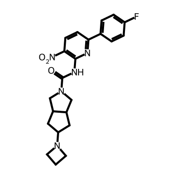 O=C(Nc1nc(-c2ccc(F)cc2)ccc1[N+](=O)[O-])N1CC2CC(N3CCC3)CC2C1